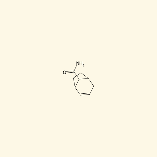 NC(=O)C1C2C=CCC1CC2